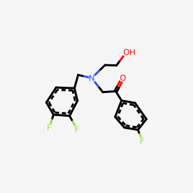 O=C(CN(CCO)Cc1ccc(F)c(F)c1)c1ccc(F)cc1